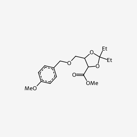 CCC1(CC)OC(COCc2ccc(OC)cc2)C(C(=O)OC)O1